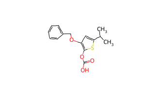 CC(C)c1cc(OCc2ccccc2)c(OC(=O)O)s1